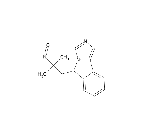 CC(C)(CC1c2ccccc2-c2cncn21)N=O